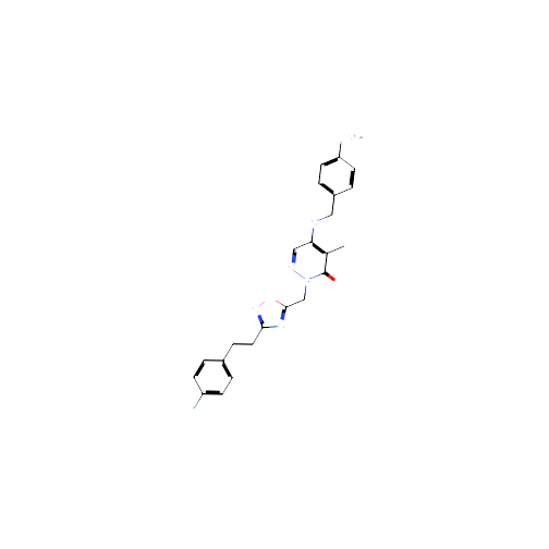 COc1ccc(CNc2cnn(Cc3nc(CCc4ccc(Cl)cc4)no3)c(=O)c2C)cc1